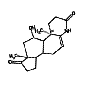 CC12CC(O)C3C(CC=C4NC(=O)CC[C@@]43C)C1CCC2=O